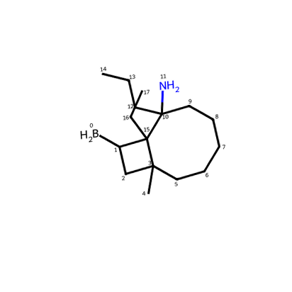 BC1CC2(C)CCCCCC(N)(CCC)C12CC